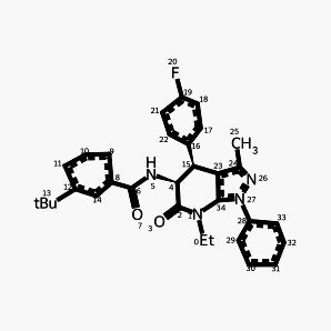 CCN1C(=O)[C@@H](NC(=O)c2cccc(C(C)(C)C)c2)[C@@H](c2ccc(F)cc2)c2c(C)nn(-c3ccccc3)c21